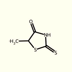 [CH2]C1SC(=S)NC1=O